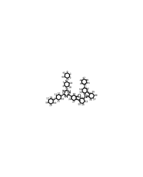 c1ccc(-c2ccc(-c3nc(-c4ccc(-c5ccccc5)cc4)nc(-c4ccc5c(c4)oc4c(-n6c7ccccc7c7cc(-c8ccccc8)ccc76)cccc45)n3)cc2)cc1